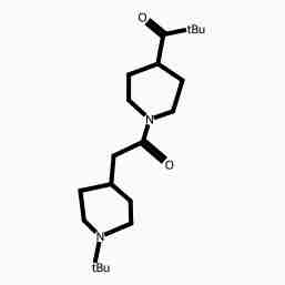 CC(C)(C)C(=O)C1CCN(C(=O)CC2CCN(C(C)(C)C)CC2)CC1